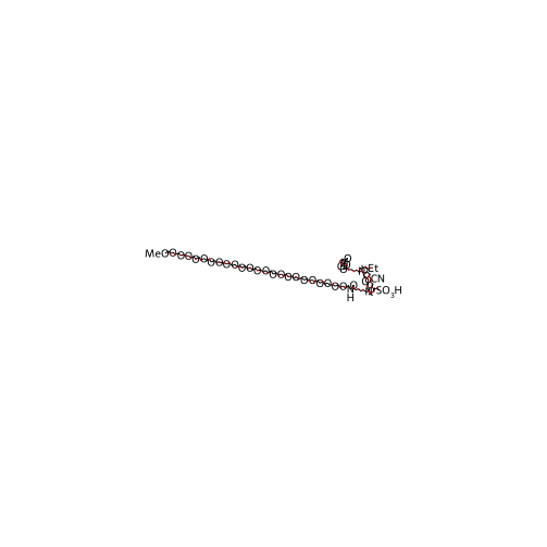 CCC1=CC(C)(C)N(CCCCCC(=O)ON2C(=O)CCC2=O)c2cc3c(cc21)C(C#N)=c1cc2c(cc1O3)=[N+](CCCCCC(=O)NCCOCCOCCOCCOCCOCCOCCOCCOCCOCCOCCOCCOCCOCCOCCOCCOCCOCCOCCOCCOCCOCCOCCOCCOC)C(C)(C)C=C2CS(=O)(=O)O